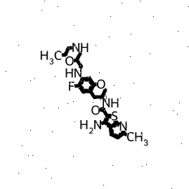 Cc1ccc2c(N)c(C(=O)N[C@H]3COc4cc(NCC5CNCC(C)O5)c(F)cc4C3)sc2n1